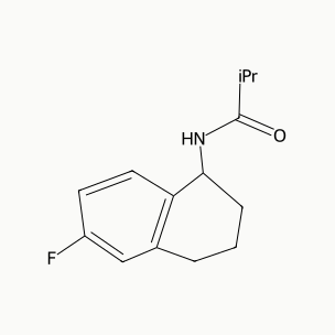 CC(C)C(=O)NC1CCCc2cc(F)ccc21